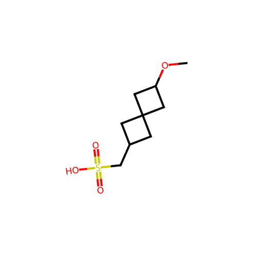 COC1CC2(CC(CS(=O)(=O)O)C2)C1